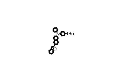 CC(C)(C)c1ccc(N(c2ccccc2)c2ccc3cc(-c4cc5ccccc5o4)ccc3c2)cc1